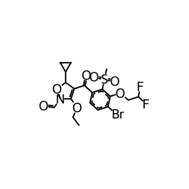 CCOC1=C(C(=O)c2ccc(Br)c(OCC(F)F)c2S(C)(=O)=O)C(C2CC2)ON1C=O